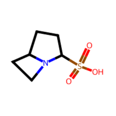 O=S(=O)(O)C1CCC2CCN21